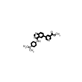 COC(=O)c1cncc(-c2ccc3ncnc(N[C@H]4CC[C@H](N(C)C)CC4)c3c2)c1